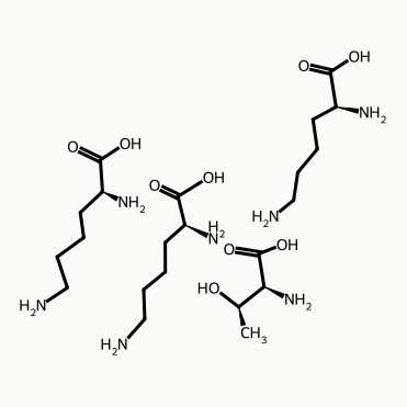 C[C@@H](O)[C@H](N)C(=O)O.NCCCC[C@H](N)C(=O)O.NCCCC[C@H](N)C(=O)O.NCCCC[C@H](N)C(=O)O